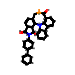 O=C1PCc2ccc3c(c2-n2c4ccccc4c4cccc1c42)C(=O)N(c1ccc(-c2ccccc2)cc1)C3=O